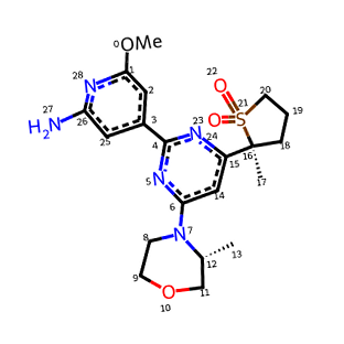 COc1cc(-c2nc(N3CCOC[C@H]3C)cc([C@]3(C)CCCS3(=O)=O)n2)cc(N)n1